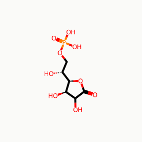 O=C1O[C@H]([C@H](O)COP(=O)(O)O)[C@H](O)C1O